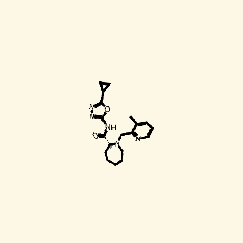 Cc1cccnc1CN1CCCCC[C@@H]1C(=O)Nc1nnc(C2CC2)o1